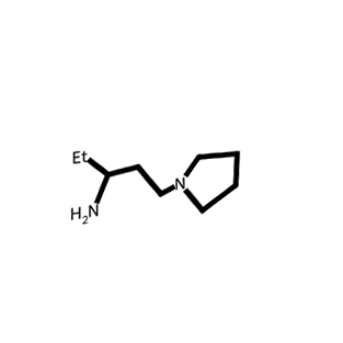 [CH2]CC(N)CCN1CCCC1